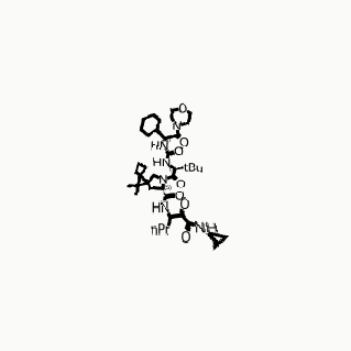 CCCC(NC(=O)[C@@H]1CC2(CN1C(=O)[C@@H](NC(=O)N[C@H](C(=O)N1CCOCC1)C1CCCCC1)C(C)(C)C)C(C)(C)C21CCC1)C(=O)C(=O)NC1CC1